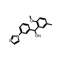 COc1ccc(C)cc1C(O)c1cccc(-n2ccnc2)c1